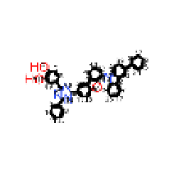 Oc1ccc(-c2nc(-c3ccccc3)nc(-c3ccc4oc5c(-n6c7ccccc7c7cc(-c8ccccc8)ccc76)cccc5c4c3)n2)cc1O